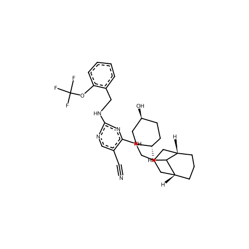 N#Cc1cnc(NCc2ccccc2OC(F)(F)F)nc1NCC1C[C@H]2CCC[C@@H](C1)C2N[C@H]1CC[C@H](O)CC1